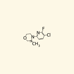 C[C@H]1COCCN1c1ccc(Cl)c(F)n1